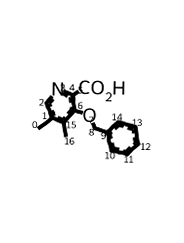 Cc1cnc(C(=O)O)c(OCc2ccccc2)c1C